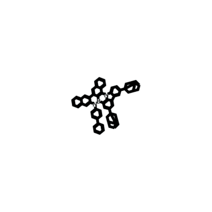 c1ccc(-c2ccc(N3B4c5c(cc6ccccc6c5-n5c6ccc(C78CC9CC(CC(C9)C7)C8)cc6c6cc(C78CC9CC(CC(C9)C7)C8)cc4c65)-c4cc5ccccc5cc43)cc2)cc1